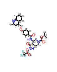 Cc1cc(COc2ccc(C(=O)N[C@@H]3CN(C(=O)OC(C)C)CC[C@@H]3C(=O)NOC(=O)C(F)(F)F)cc2)c2ccccc2n1